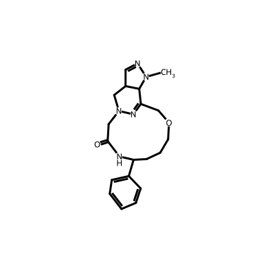 CN1N=CC2CN3CC(=O)NC(c4ccccc4)CCCOCC(=N3)C21